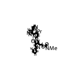 CNC(=O)OCc1nc(N2CCC[C@H]2C)cc2c1CN(c1cccc(-c3nncn3-c3ccnn3C(C)C)n1)C2=O